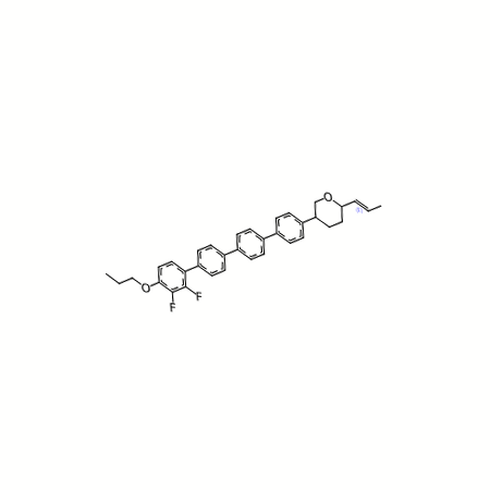 C/C=C/C1CCC(c2ccc(-c3ccc(-c4ccc(-c5ccc(OCCC)c(F)c5F)cc4)cc3)cc2)CO1